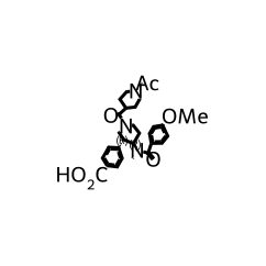 COc1ccc(C(=O)N(C)[C@@H]2CCN(C(=O)C3CCN(C(C)=O)CC3)C[C@H]2c2ccc(C(=O)O)cc2)cc1